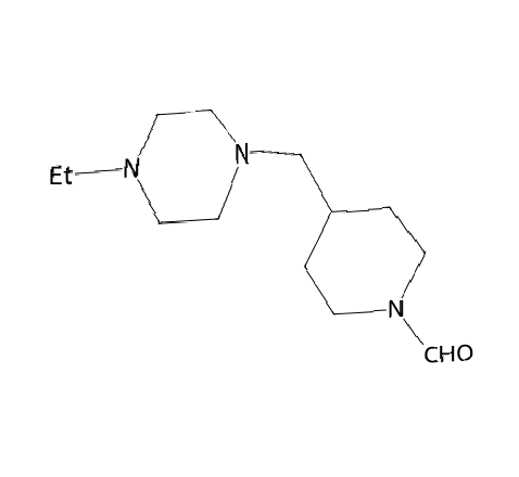 CCN1CCN(CC2CCN(C=O)CC2)CC1